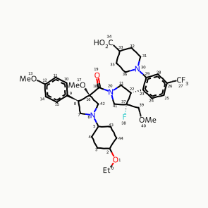 CCOC1CCC(N2C[C@@H](c3ccc(OC)cc3)[C@](OC)(C(=O)N3C[C@H](c4ccc(C(F)(F)F)cc4N4CCC(C(=O)O)CC4)[C@@](F)(COC)C3)C2)CC1